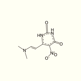 CN(C)C=Cc1[nH]c(=O)[nH]c(=O)c1[N+](=O)[O-]